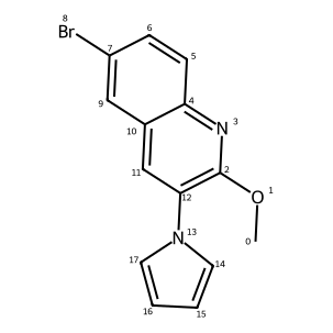 COc1nc2ccc(Br)cc2cc1-n1cccc1